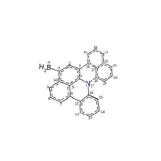 Bc1cc2c3c4c(cccc14)-c1ccccc1N3c1cccc3cccc-2c13